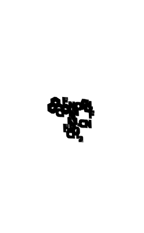 C=C(F)C(=O)N1CCN(c2nc(OC[C@@]34CCCN3C[C@H](F)C4)nc3c(F)c(-c4cccc5cccc(Cl)c45)ccc23)C[C@@H]1CC#N